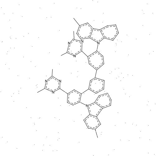 Cc1ccc2c(c1)c1ccccc1n2-c1ccc(-c2nc(C)nc(C)n2)cc1-c1cccc(-c2ccc(-n3c4ccccc4c4cc(C)ccc43)c(-c3nc(C)nc(C)n3)c2)c1